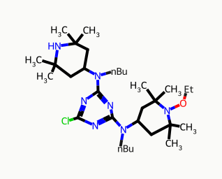 CCCCN(c1nc(Cl)nc(N(CCCC)C2CC(C)(C)N(OCC)C(C)(C)C2)n1)C1CC(C)(C)NC(C)(C)C1